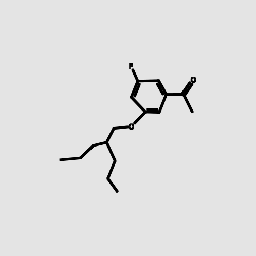 CCCC(CCC)COc1cc(F)cc(C(C)=O)c1